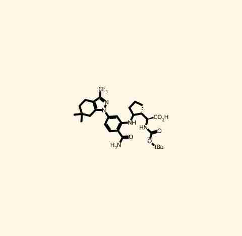 CC1(C)CCc2c(C(F)(F)F)nn(-c3ccc(C(N)=O)c(NC4CCC[C@@H]4[C@H](NC(=O)OC(C)(C)C)C(=O)O)c3)c2C1